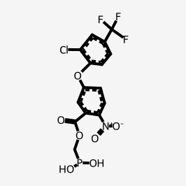 O=C(OCP(O)O)c1cc(Oc2ccc(C(F)(F)F)cc2Cl)ccc1[N+](=O)[O-]